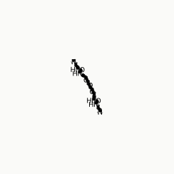 CN(C)CCCNC(=O)NC#CCOCCOCCOCC#CNC(=O)NCCCN(C)C